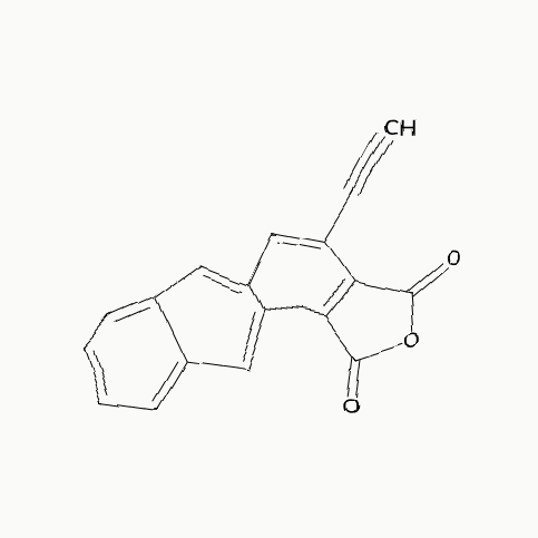 C#Cc1cc2cc3ccccc3cc2c2c1C(=O)OC2=O